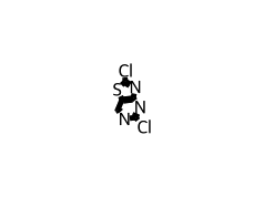 Clc1ncc2sc(Cl)nc2n1